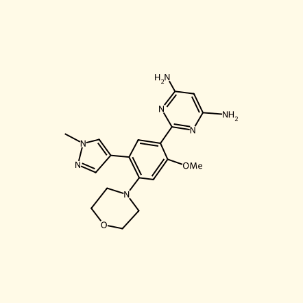 COc1cc(N2CCOCC2)c(-c2cnn(C)c2)cc1-c1nc(N)cc(N)n1